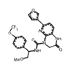 COCC(NC(=O)N1CC(=O)Nc2ccc(-c3ccoc3)nc21)c1ccc(OC(F)(F)F)cc1